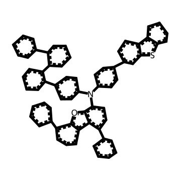 c1ccc(-c2ccccc2-c2ccccc2-c2ccc(N(c3ccc(-c4ccc5c(c4)sc4ccccc45)cc3)c3ccc(-c4ccccc4)c4c3oc3c(-c5ccccc5)cccc34)cc2)cc1